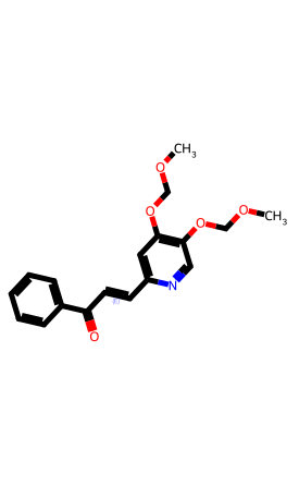 COCOc1cnc(/C=C/C(=O)c2ccccc2)cc1OCOC